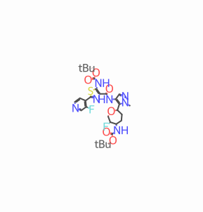 Cn1ncc(NC(=O)c2nc(-c3ccncc3F)sc2NC(=O)OC(C)(C)C)c1C1CCC(NC(=O)OC(C)(C)C)[C@@H](F)CO1